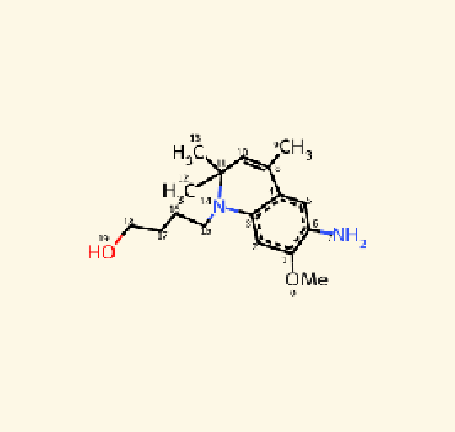 COc1cc2c(cc1N)C(C)=CC(C)(C)N2CCCCO